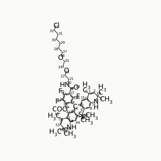 CC1=CC(C)(C)Nc2cc3c(cc21)[C+](c1c(F)c(C(=O)NCCOCCOCCCCCCCl)c(F)c(F)c1C(=O)[O-])c1cc2c(cc1[Si]3(C)C)NC(C)(C)C=C2C